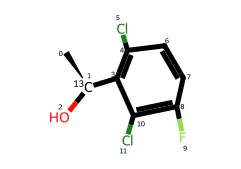 C[13C@H](O)c1c(Cl)ccc(F)c1Cl